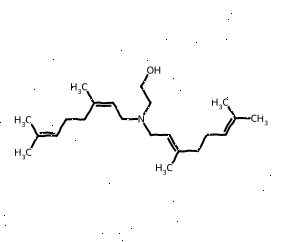 CC(C)=CCCC(C)=CCN(CC=C(C)CCC=C(C)C)CCO